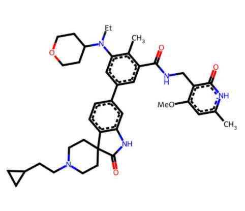 CCN(c1cc(-c2ccc3c(c2)NC(=O)C32CCN(CCC3CC3)CC2)cc(C(=O)NCc2c(OC)cc(C)[nH]c2=O)c1C)C1CCOCC1